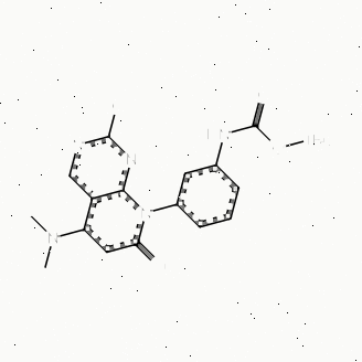 CN(C)c1cc(=O)n(-c2cccc(NC(=O)OC(C)(C)C)c2)c2nc(Cl)ncc12